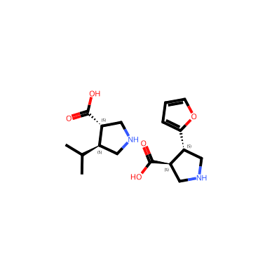 CC(C)[C@@H]1CNC[C@H]1C(=O)O.O=C(O)[C@@H]1CNC[C@H]1c1ccco1